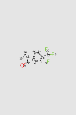 O=[C]C1(c2ccc(C(F)(F)F)cc2)CC1